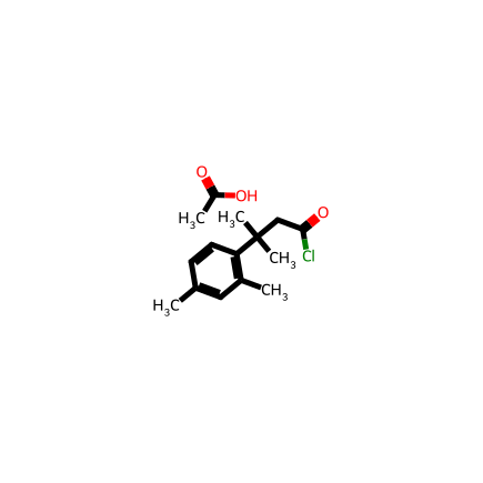 CC(=O)O.Cc1ccc(C(C)(C)CC(=O)Cl)c(C)c1